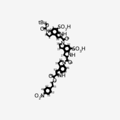 CC(C)(C)OC(=O)N1CCc2c1cc(S(=O)(=O)O)c1[nH]c(C(=O)N3CCc4c3cc(S(=O)(=O)O)c3c4CC(C(=O)N4CCc5c4ccc4[nH]c(C(=O)OCCc6ccc([N+](=O)[O-])cc6)cc54)N3)cc21